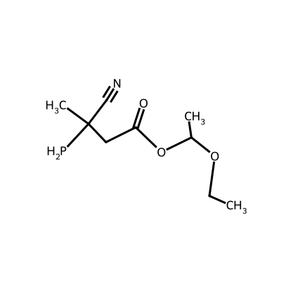 CCOC(C)OC(=O)CC(C)(P)C#N